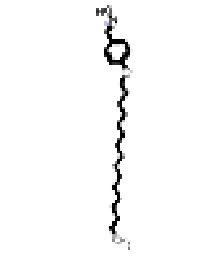 CCCCCCCCCCCCCCCCOc1ccc(/C=N/O)cc1